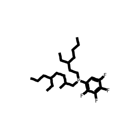 CCCCC(CC)CCP(CC(C)CCC(CC)CCC)c1cc(F)c(F)c(F)c1F